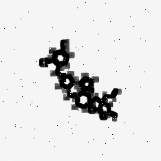 C=CCC1(CC=C)CC2(CCN(C[C@H]3CN(Cc4ccc(Cl)cc4Cl)C[C@@H]3c3ccsc3)CC2)OC1=O